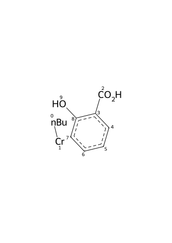 CCC[CH2][Cr].O=C(O)c1ccccc1O